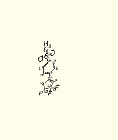 CS(=O)(=O)c1ccc(C2=CC(F)(F)C(F)[CH]2)cc1